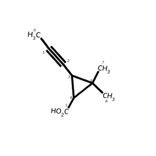 CC#CC1C(C(=O)O)C1(C)C